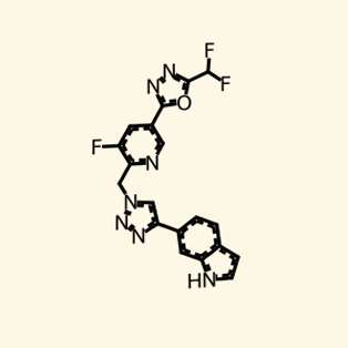 Fc1cc(-c2nnc(C(F)F)o2)cnc1Cn1cc(-c2ccc3cc[nH]c3c2)nn1